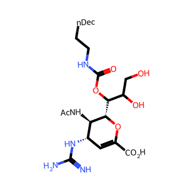 CCCCCCCCCCCCNC(=O)OC(C(O)CO)[C@@H]1OC(C(=O)O)=C[C@H](NC(=N)N)[C@H]1NC(C)=O